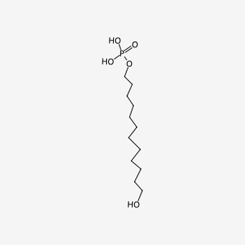 O=P(O)(O)OCCCCCCCCCCCCO